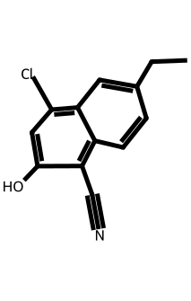 CCc1ccc2c(C#N)c(O)cc(Cl)c2c1